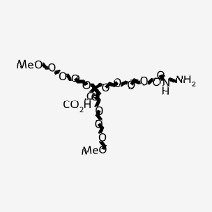 COCCOCCOCCOCCOCC(COCCOCCOCCOCCOC)(COCCOCCOCCOCCOC(=O)NCCN)COCC(=O)O